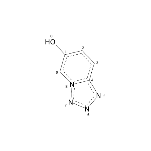 Oc1ccc2nnnn2c1